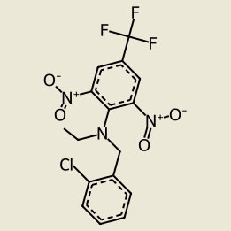 CCN(Cc1ccccc1Cl)c1c([N+](=O)[O-])cc(C(F)(F)F)cc1[N+](=O)[O-]